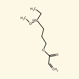 C=CC(=O)OCCC[SiH](CC)OC